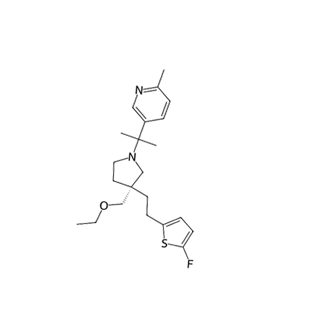 CCOC[C@]1(CCc2ccc(F)s2)CCN(C(C)(C)c2ccc(C)nc2)C1